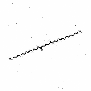 CCCCOCCOCCOCCOC(=O)CCCCC(=O)OCCOCCOCCOCCCC